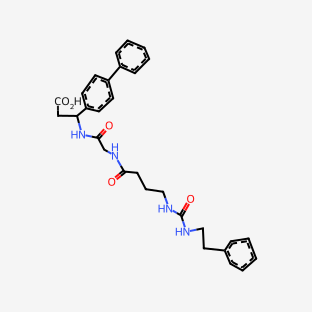 O=C(O)CC(NC(=O)CNC(=O)CCCNC(=O)NCCc1ccccc1)c1ccc(-c2ccccc2)cc1